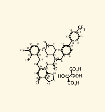 CN1CCC(N(Cc2ccc(-c3ccc(C(F)(F)F)cc3)cc2)C(=O)Cn2c(CCc3cccc(F)c3F)cc(=O)c3c2CCC3)CC1.O=C(O)C(O)C(O)C(=O)O